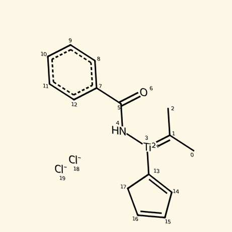 C[C](C)=[Ti+2]([NH]C(=O)c1ccccc1)[C]1=CC=CC1.[Cl-].[Cl-]